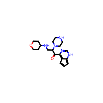 O=C(c1nc[nH]c2cccc1-2)C(CNC1CCOCC1)N1CCNCC1